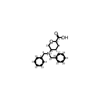 O=C(O)C1CCC(N(Cc2ccccc2)Cc2ccccc2)CO1